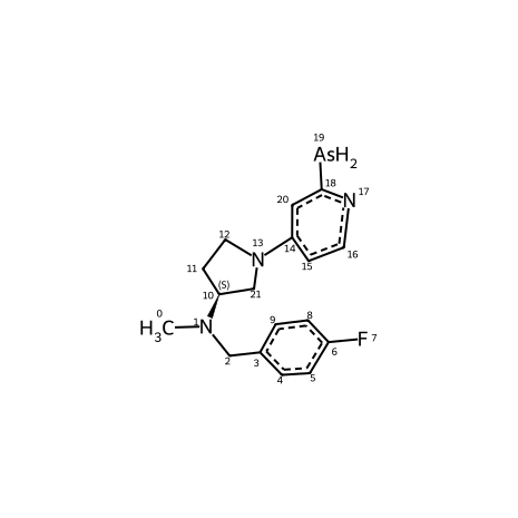 CN(Cc1ccc(F)cc1)[C@H]1CCN(c2ccnc([AsH2])c2)C1